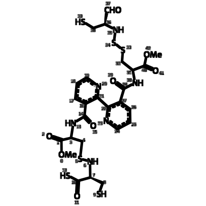 COC(=O)C(CSN[C@@H](CS)C(=O)S)NC(=O)c1cccnc1-c1ncccc1C(=O)NC(CSSN[C@H](C=O)CS)C(=O)OC